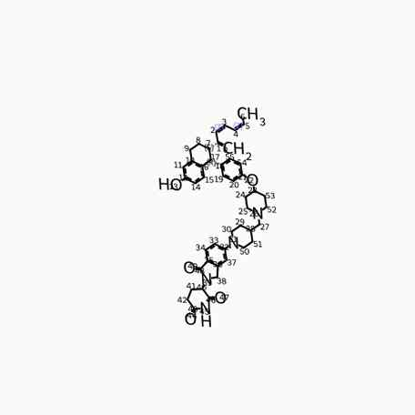 C=C(/C=C\C=C/C)[C@H]1CCc2cc(O)ccc2[C@H]1c1ccc(OC2CCN(CC3CCN(c4ccc5c(c4)CN(C4CCC(=O)NC4=O)C5=O)CC3)CC2)cc1